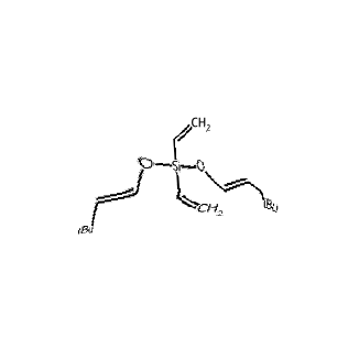 C=C[Si](C=C)(OC=CC(C)CC)OC=CC(C)CC